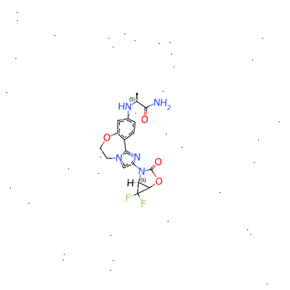 C[C@H](Nc1ccc2c(c1)OCCn1cc(N3C(=O)OC4[C@H]3C4(F)F)nc1-2)C(N)=O